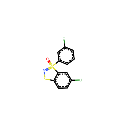 O=S1(c2cccc(Cl)c2)=NSc2ccc(Cl)cc21